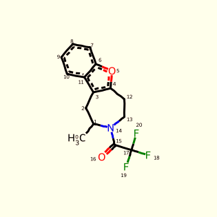 CC1Cc2c(oc3ccccc23)CCN1C(=O)C(F)(F)F